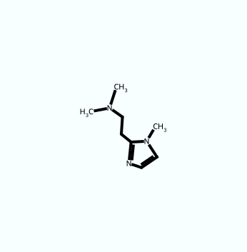 CN(C)CCc1nccn1C